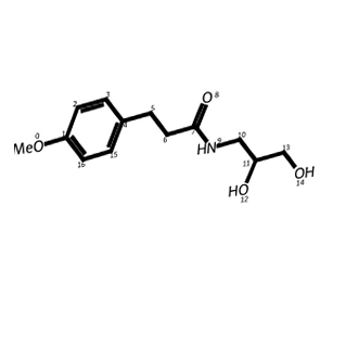 COc1ccc(CCC(=O)NCC(O)CO)cc1